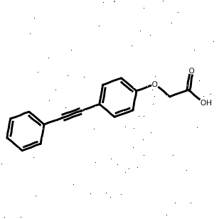 O=C(O)COc1ccc(C#Cc2ccccc2)cc1